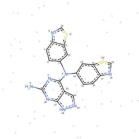 Nc1nc(N(c2ccc3ncsc3c2)c2ccc3ncsc3c2)c2cn[nH]c2n1